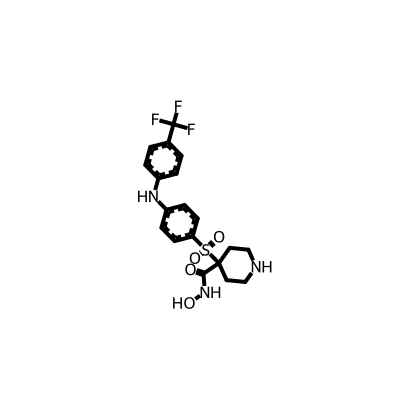 O=C(NO)C1(S(=O)(=O)c2ccc(Nc3ccc(C(F)(F)F)cc3)cc2)CCNCC1